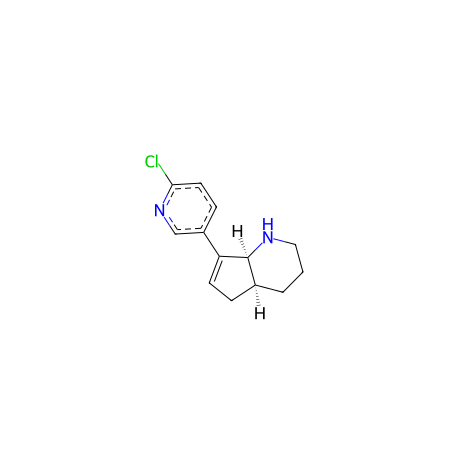 Clc1ccc(C2=CC[C@@H]3CCCN[C@H]23)cn1